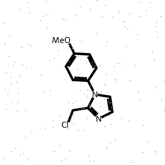 COc1ccc(-n2ccnc2CCl)cc1